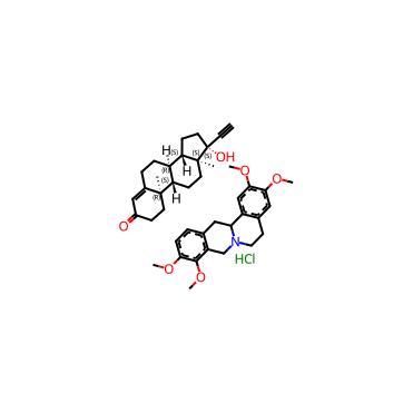 C#C[C@]1(O)CC[C@H]2[C@@H]3CCC4=CC(=O)CC[C@]4(C)[C@H]3CC[C@@]21C.COc1cc2c(cc1OC)C1Cc3ccc(OC)c(OC)c3CN1CC2.Cl